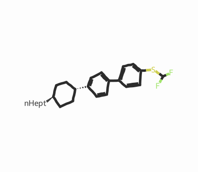 CCCCCCC[C@H]1CC[C@H](c2ccc(-c3ccc(SC(F)F)cc3)cc2)CC1